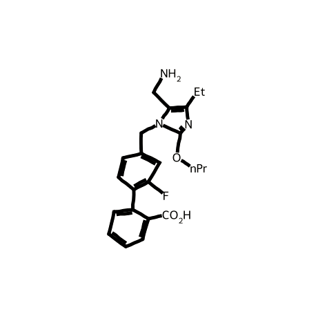 CCCOc1nc(CC)c(CN)n1Cc1ccc(-c2ccccc2C(=O)O)c(F)c1